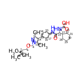 Cc1nn(COCC[Si](C)(C)C)c(C)c1-c1ccc(NC(=O)C(NC(=O)O)C2CCCCC2)cc1